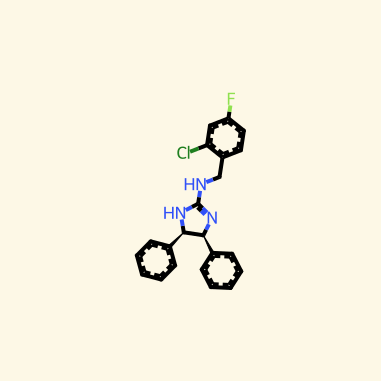 Fc1ccc(CNC2=N[C@@H](c3ccccc3)[C@@H](c3ccccc3)N2)c(Cl)c1